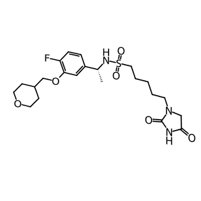 C[C@@H](NS(=O)(=O)CCCCCN1CC(=O)NC1=O)c1ccc(F)c(OCC2CCOCC2)c1